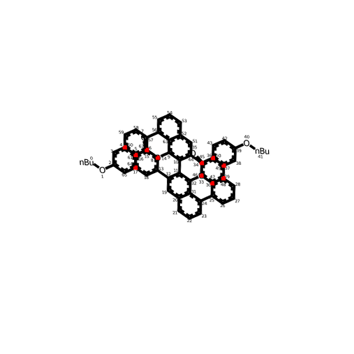 CCCCOc1ccc(C(=O)Oc2c(-c3c(-c4ccccc4)cc4cccc(-c5ccccc5)c4c3OC(=O)c3ccc(OCCCC)cc3)c(-c3ccccc3)cc3cccc(-c4ccccc4)c23)cc1